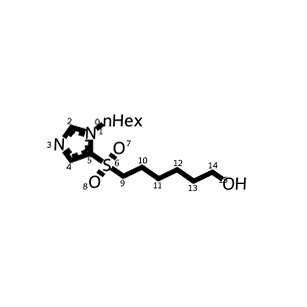 CCCCCCn1cncc1S(=O)(=O)CCCCCCO